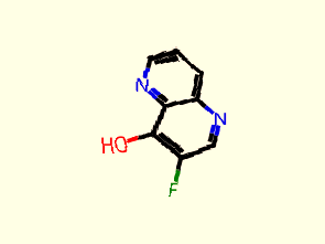 Oc1c(F)cnc2cccnc12